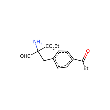 CCOC(=O)C(N)(C=O)Cc1ccc(C(=O)CC)cc1